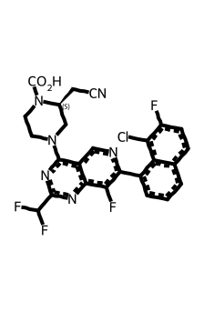 N#CC[C@H]1CN(c2nc(C(F)F)nc3c(F)c(-c4cccc5ccc(F)c(Cl)c45)ncc23)CCN1C(=O)O